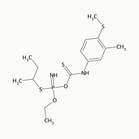 CCOP(=N)(OC(=S)Nc1ccc(SC)c(C)c1)SC(C)CC